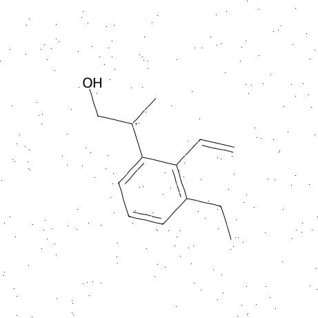 C=Cc1c(CC)cccc1[C](C)CO